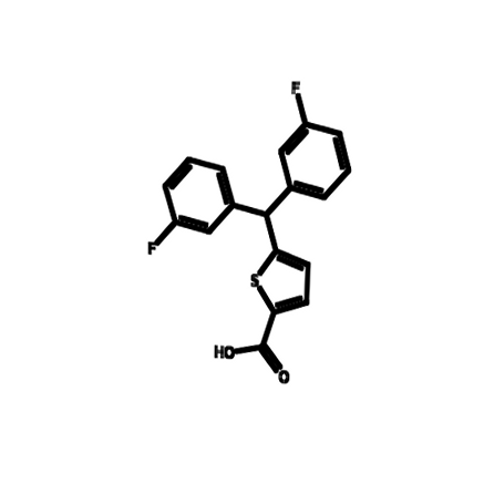 O=C(O)c1ccc(C(c2cccc(F)c2)c2cccc(F)c2)s1